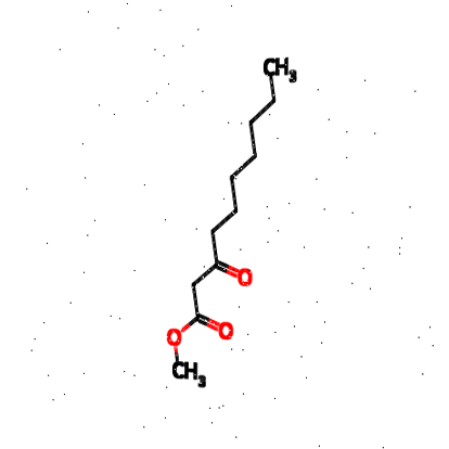 CCCCCCCC(=O)CC(=O)OC